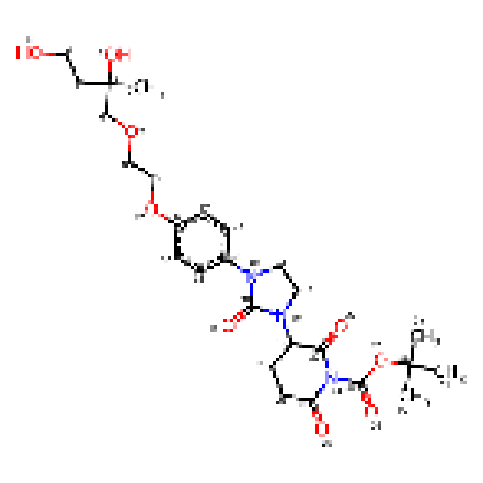 CC(O)(CCO)COCCOc1ccc(N2CCN(C3CCC(=O)N(C(=O)OC(C)(C)C)C3=O)C2=O)cc1